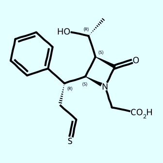 C[C@@H](O)[C@H]1C(=O)N(CC(=O)O)[C@H]1[C@H](CC=S)c1ccccc1